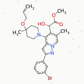 C=CCOC1(C)CCN(c2c(C(O)C(=O)OC)c(C)cn3nc(-c4cccc(Br)c4)cc23)CC1